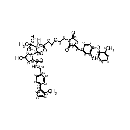 Cc1ccccc1Oc1ccc(/C=C2\SC(=O)N(CCOCCC(=O)N[C@H](C(=O)N3C[C@H](O)CC3C(=O)NCc3ccc(-c4sccc4C)cc3)C(C)(C)C)C2=O)cc1C